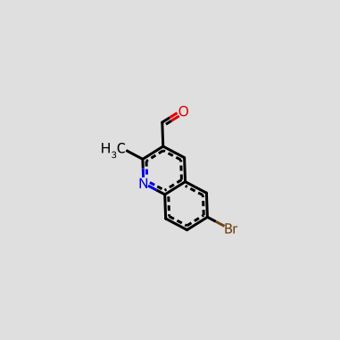 Cc1nc2ccc(Br)cc2cc1C=O